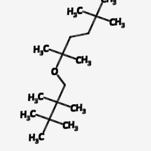 CC(C)(C)CCC(C)(C)OCC(C)(C)C(C)(C)C